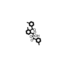 Cc1cccc(C(=O)c2c(C)cccc2C(=O)P(=O)(O)C(=O)c2cccc(C)c2)c1